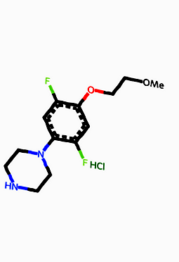 COCCOc1cc(F)c(N2CCNCC2)cc1F.Cl